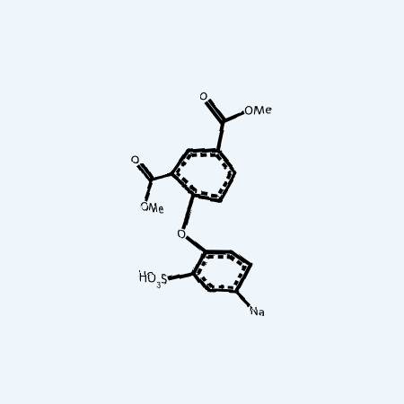 COC(=O)c1ccc(Oc2cc[c]([Na])cc2S(=O)(=O)O)c(C(=O)OC)c1